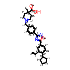 C=Cc1cc(-c2nc(-c3ccc(CN4CCC(C)(C(=O)O)CC4)cc3)no2)ccc1C1CCCC1